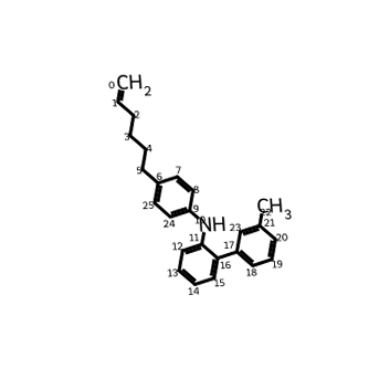 C=CCCCCc1ccc(Nc2ccccc2-c2cccc(C)c2)cc1